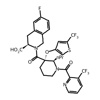 CCC[C@H]1N(C(=O)c2ncccc2C(F)(F)F)CCC[C@@]1(Oc1csc(C(F)(F)F)c1)C(=O)N1Cc2ccc(F)cc2C[C@@H]1C(=O)O